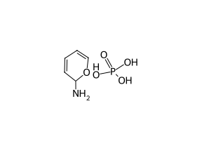 NC1C=CC=CO1.O=P(O)(O)O